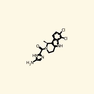 C[C@H]1c2c([nH]c3c(Cl)c(Cl)ccc23)CCN1C(=O)c1ncc(N)[nH]1